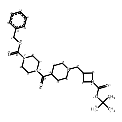 CC(C)(C)OC(=O)N1CC(CN2CCC(C(=O)N3CCN(C(=O)OCc4ccccc4)CC3)CC2)C1